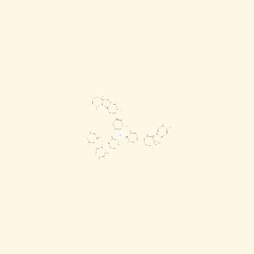 CC1(c2cccc(N(c3ccc(-c4ccc5sc6ccccc6c5c4)cc3)c3ccc(-c4ccc5sc6ccccc6c5c4)cc3)c2)c2ccccc2-c2ccccc21